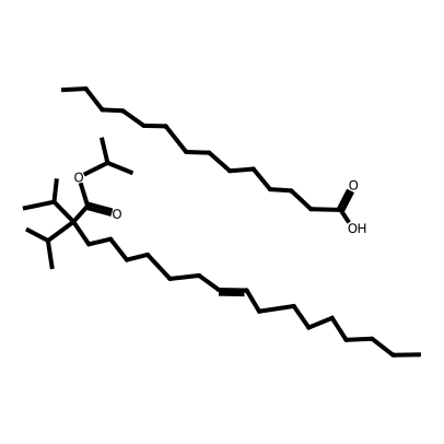 CCCCCCCCC=CCCCCCCC(C(=O)OC(C)C)(C(C)C)C(C)C.CCCCCCCCCCCCCC(=O)O